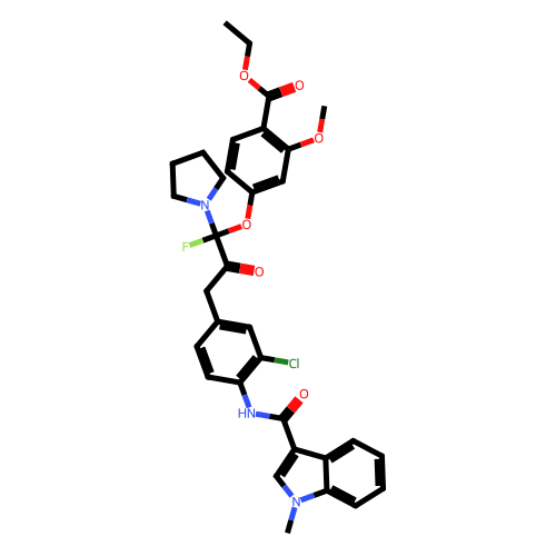 CCOC(=O)c1ccc(OC(F)(C(=O)Cc2ccc(NC(=O)c3cn(C)c4ccccc34)c(Cl)c2)N2CCCC2)cc1OC